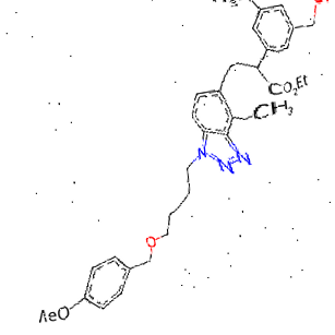 CCOC(=O)C(Cc1ccc2c(nnn2CCCCOCc2ccc(OC)cc2)c1C)c1cc(C)cc(CO)c1